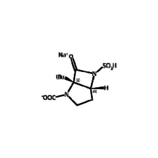 CC(C)(C)[C@@]12C(=O)N(S(=O)(=O)O)[C@@H]1CCN2C(=O)[O-].[Na+]